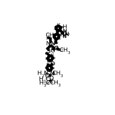 CCCc1nc(CSCc2ccc(Oc3ccc(N)c(N(C)C(=O)OC(C)(C)C)c3)cc2)c(C(=O)OCC)n1Cc1ccc(-c2ccccc2-c2nnn[nH]2)cc1